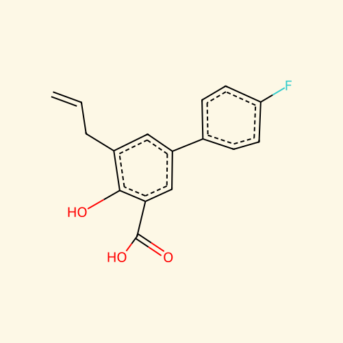 C=CCc1cc(-c2ccc(F)cc2)cc(C(=O)O)c1O